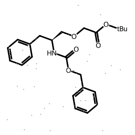 CC(C)(C)OC(=O)COC[C@H](Cc1ccccc1)NC(=O)OCc1ccccc1